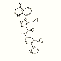 O=C(Nc1ccc(-n2cccn2)c(C(F)(F)F)c1)c1cnn(-c2cccn3c(=O)ccnc23)c1C1CC1